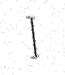 CCCCC(=O)CCOCCOCCOCCOCCOCCOCCOCCOCCOCCC(=O)CCCC